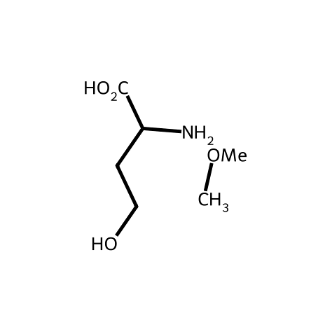 COC.NC(CCO)C(=O)O